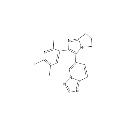 Cc1cc(-c2nc3n(c2-c2ccc4ncnn4c2)CCC3)c(C)cc1F